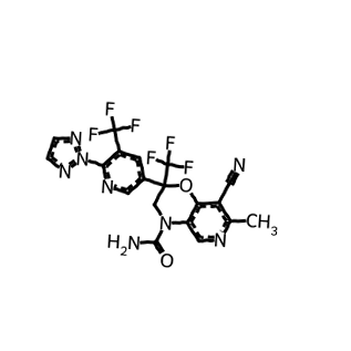 Cc1ncc2c(c1C#N)OC(c1cnc(-n3nccn3)c(C(F)(F)F)c1)(C(F)(F)F)CN2C(N)=O